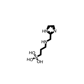 O[Si](O)(O)CCCNCc1ncc[nH]1